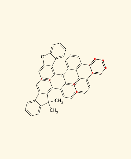 CC1(C)c2ccccc2-c2cccc(-c3ccccc3N(c3cccc(-c4ccccc4)c3-c3ccccc3-c3ccccc3)c3cccc4oc5ccccc5c34)c21